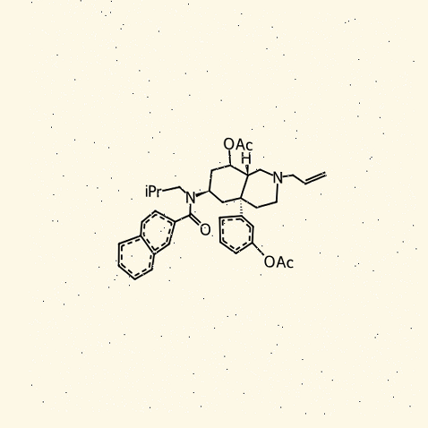 C=CCN1CC[C@@]2(c3cccc(OC(C)=O)c3)C[C@@H](N(CC(C)C)C(=O)c3ccc4ccccc4c3)CC(OC(C)=O)[C@@H]2C1